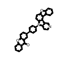 O=c1c2ccccc2oc2ccc(-c3ccc(-n4c5ccncc5c5c6c(ccc54)oc4ccccc46)cc3)cc12